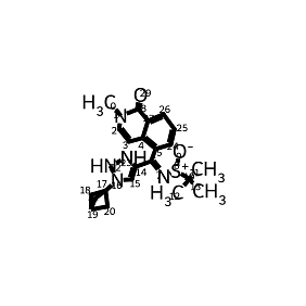 Cn1ccc2c(/C(=N\[S+]([O-])C(C)(C)C)C3=CN(C45CC(C4)C5)NN3)cccc2c1=O